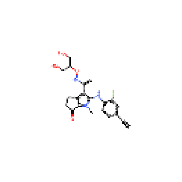 C#Cc1ccc(Nc2c(C(=C)NOC(CO)CO)c3c(n2C)C(=O)CC3)c(F)c1